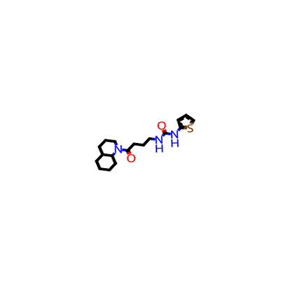 O=C(NCCCC(=O)N1CCCC2CCCCC21)Nc1cccs1